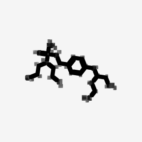 CCOC(CC)Oc1ccc(COP(N)(=O)N(CCCl)CCCl)cc1